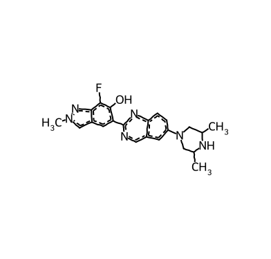 CC1CN(c2ccc3nc(-c4cc5cn(C)nc5c(F)c4O)ncc3c2)CC(C)N1